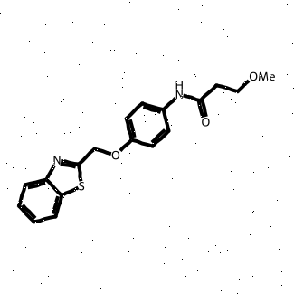 COCCC(=O)Nc1ccc(OCc2nc3ccccc3s2)cc1